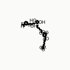 COc1cc(C(=O)OCCCCO[N+](=O)[O-])ccc1OC(=O)CCC/C=C\C[C@@H]1[C@@H](/C=C/[C@@H](O)COc2cccc(C(F)(F)F)c2)[C@H](O)C[C@@H]1O